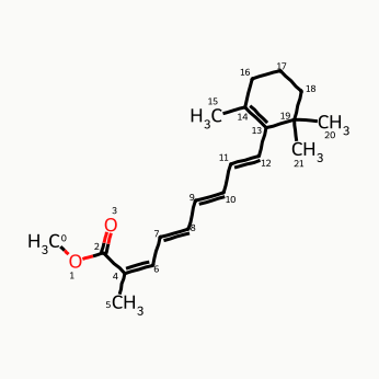 COC(=O)C(C)=CC=CC=CC=CC1=C(C)CCCC1(C)C